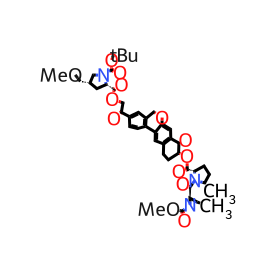 COC[C@H]1C[C@@H](C(=O)OCC(=O)c2ccc3c(c2)COc2cc4c(cc2-3)CCC(OC(=O)[C@@H]2CC[C@H](C)N2C(=O)[C@H]2C(C)N2C(=O)OC)C4=O)N(C(=O)OC(C)(C)C)C1